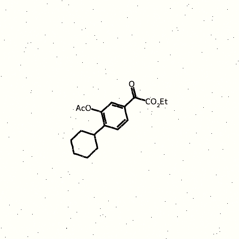 CCOC(=O)C(=O)c1ccc(C2CCCCC2)c(OC(C)=O)c1